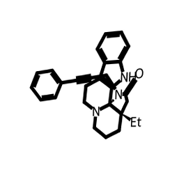 CC[C@@]12CCCN3CCc4c([nH]c5ccccc45)[C@]31N(CC#Cc1ccccc1)C(=O)C2